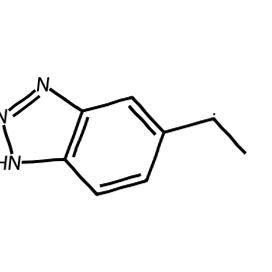 C[CH]c1ccc2[nH]nnc2c1